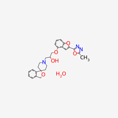 Cc1nnc(-c2cc3c(OC[C@@H](O)CN4CCC5(CC4)OCc4ccccc45)cccc3o2)o1.O